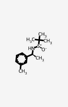 Cc1cccc([C@H](C)N[S@+]([O-])C(C)(C)C)c1